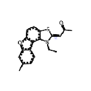 CCN1/C(=C/C(C)=O)Sc2ccc3oc4cc(C)ccc4c3c21